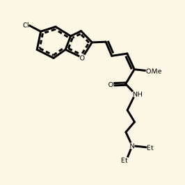 CCN(CC)CCCNC(=O)C(=CC=Cc1cc2cc(Cl)ccc2o1)OC